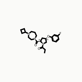 CCC(=O)N1C[C@@H](Oc2cccc(F)c2)C[C@@H]1C(=O)N1CCCN(C2CCC2)CC1